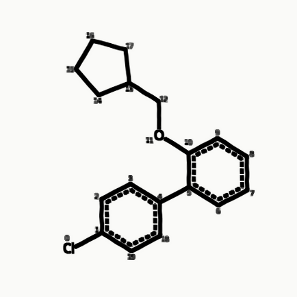 Clc1ccc(-c2ccccc2OCC2CCCC2)cc1